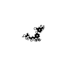 COC(=O)C(C)SC(=O)C(=O)CC(=O)c1cc(Oc2ccc(C(F)(F)F)cc2Cl)ccc1[N+](=O)[O-]